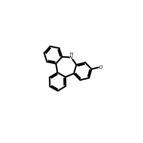 Clc1ccc2c(c1)Nc1ccccc1-c1ccccc1-2